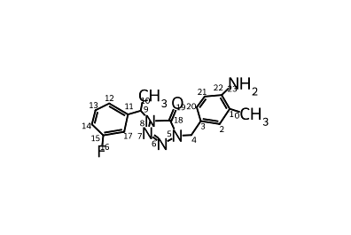 Cc1cc(Cn2nnn(C(C)c3cccc(F)c3)c2=O)ccc1N